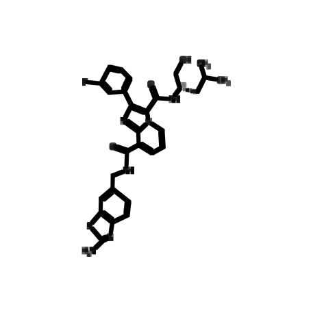 CC(C)C[C@@H](CO)NC(=O)c1c(-c2cccc(F)c2)nc2c(C(=O)NCc3ccc4nc(N)sc4c3)cccn12